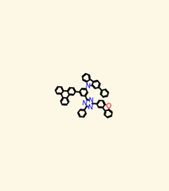 c1ccc(-c2ccc3c4ccccc4n(-c4cc(-c5ccc6c7ccccc7c7ccccc7c6c5)cc(-c5nc(-c6ccccc6)nc(-c6ccc7oc8ccccc8c7c6)n5)c4)c3c2)cc1